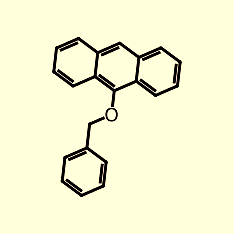 c1ccc(COc2c3ccccc3cc3ccccc23)cc1